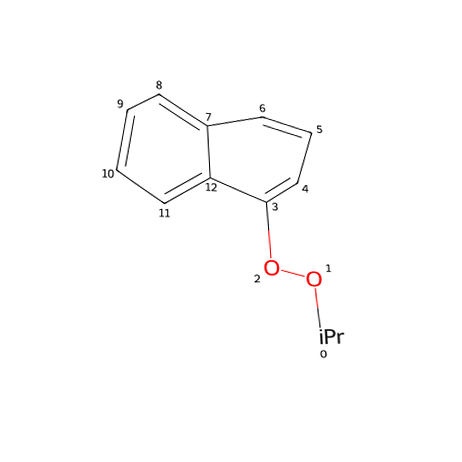 CC(C)OOc1cccc2ccccc12